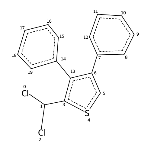 ClC(Cl)c1scc(-c2ccccc2)c1-c1ccccc1